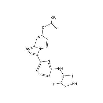 CC(Oc1ccn2c(-c3cccc(NC4CNCC4F)n3)cnc2c1)C(F)(F)F